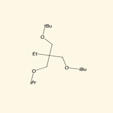 CCC(C)OCC(CC)(COC(C)C)COC(C)(C)C